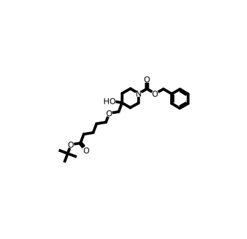 CC(C)(C)OC(=O)CCCCOCC1(O)CCN(C(=O)OCc2ccccc2)CC1